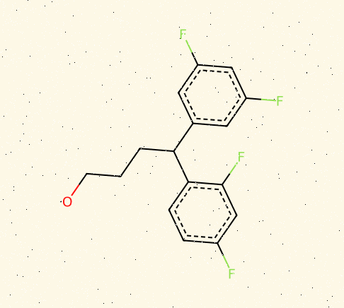 [O]CCCC(c1cc(F)cc(F)c1)c1ccc(F)cc1F